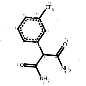 NC(=O)C(C(N)=O)c1cccc(C(F)(F)F)c1